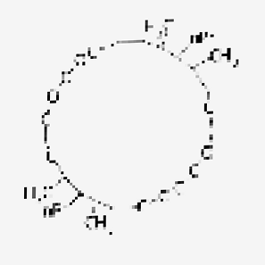 CCCC1C(C)CCCOCOCCCC(C)C(CCC)C(C)CCCOCOCCCC1C